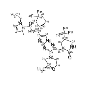 CCn1nccc1C(=O)N[C@H](c1cn2nc(C[C@H]3C[C@H](C(F)(F)F)CNC3=O)c(N3CCO[C@@H](C)C3)nc2n1)[C@@H]1CCCC(F)(F)C1